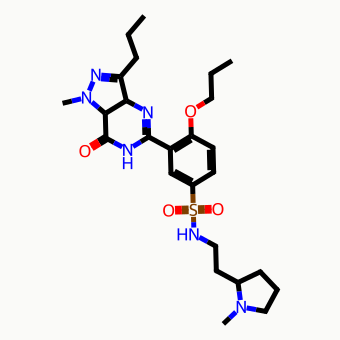 CCCOc1ccc(S(=O)(=O)NCCC2CCCN2C)cc1C1=NC2C(CCC)=NN(C)C2C(=O)N1